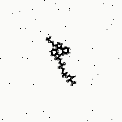 CNC(=O)N(C)COC(C)(C)CCNC(=O)CCC(=O)N1Cc2ccccc2-c2nnn(CCOC(C)C)c2-c2ccccc21